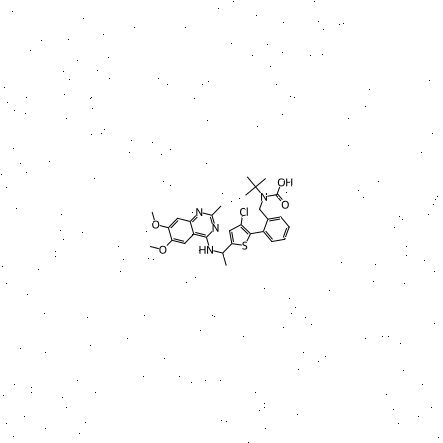 COc1cc2nc(C)nc(NC(C)c3cc(Cl)c(-c4ccccc4CN(C(=O)O)C(C)(C)C)s3)c2cc1OC